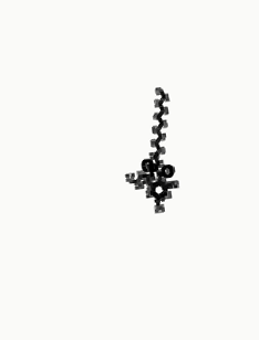 CCCCCCCCCCCCP(=O)(CCCC)C(=O)c1c(C)cc(C)cc1C